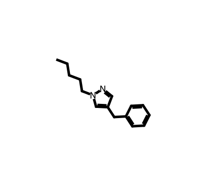 CCCCCn1cc(Cc2ccccc2)cn1